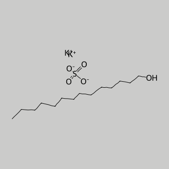 CCCCCCCCCCCCCCO.O=S(=O)([O-])[O-].[K+].[K+]